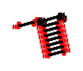 CC(C)(CCCCCCCCCCCCC(C)(C)C(=O)O)C(=O)O.O=C(O)CCCCCCCCC(=O)O.O=C(O)CCCCCCCCC(=O)O.O=C(O)CCCCCCCCC(=O)O.O=C(O)CCCCCCCCC(=O)O.O=C(O)CCCCCCCCC(=O)O.O=C(O)CCCCCCCCC(=O)O.O=C(O)CCCCCCCCC(=O)O.O=C(O)CCCCCCCCC(=O)O